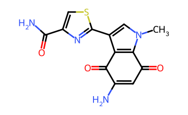 Cn1cc(-c2nc(C(N)=O)cs2)c2c1C(=O)C=C(N)C2=O